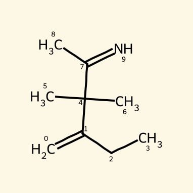 C=C(CC)C(C)(C)C(C)=N